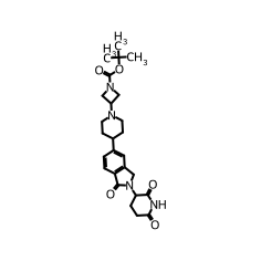 CC(C)(C)OC(=O)N1CC(N2CCC(c3ccc4c(c3)CN(C3CCC(=O)NC3=O)C4=O)CC2)C1